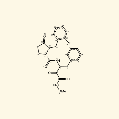 CONC(=O)C(=O)C(Cc1ccccc1)NC(=O)[C@@H]1CCC(=O)N1Cc1ccccc1F